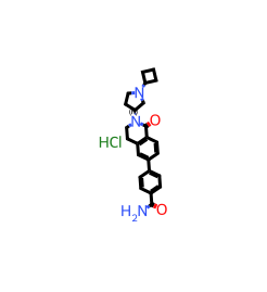 Cl.NC(=O)c1ccc(-c2ccc3c(c2)CCN([C@@H]2CCN(C4CCC4)C2)C3=O)cc1